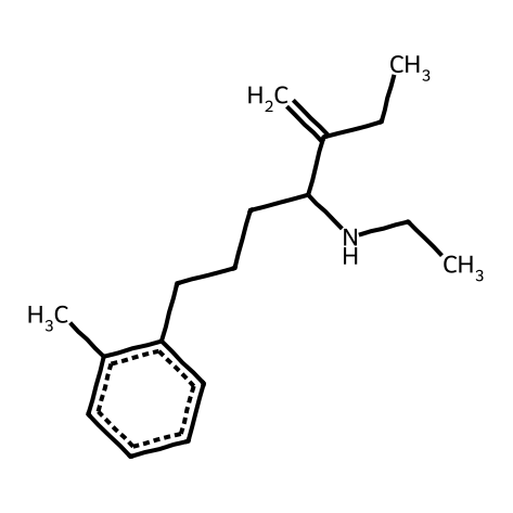 C=C(CC)C(CCCc1ccccc1C)NCC